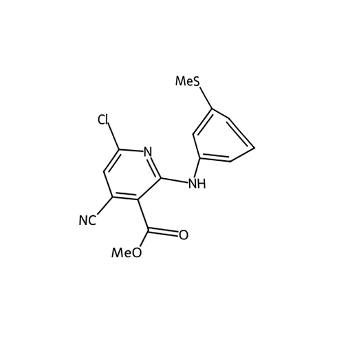 COC(=O)c1c(C#N)cc(Cl)nc1Nc1cccc(SC)c1